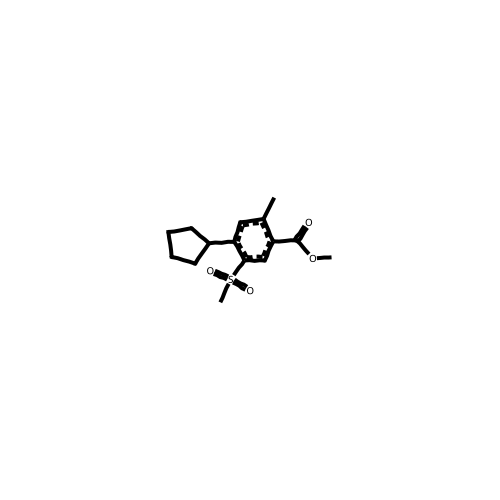 COC(=O)c1cc(S(C)(=O)=O)c(C2CCCC2)cc1C